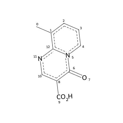 Cc1cccn2c(=O)c(C(=O)O)cnc12